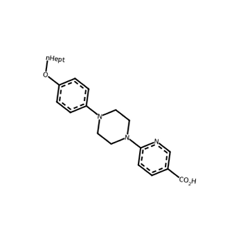 CCCCCCCOc1ccc(N2CCN(c3ccc(C(=O)O)cn3)CC2)cc1